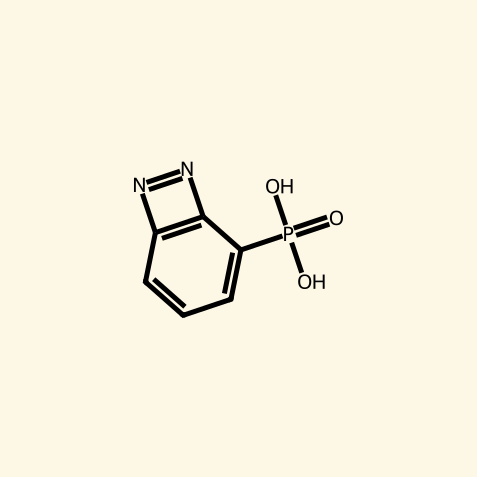 O=P(O)(O)c1cccc2c1N=N2